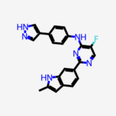 Cc1cc2ccc(-c3ncc(F)c(Nc4ccc(-c5cn[nH]c5)cc4)n3)cc2[nH]1